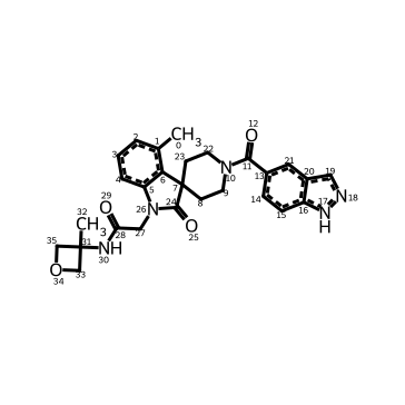 Cc1cccc2c1C1(CCN(C(=O)c3ccc4[nH]ncc4c3)CC1)C(=O)N2CC(=O)NC1(C)COC1